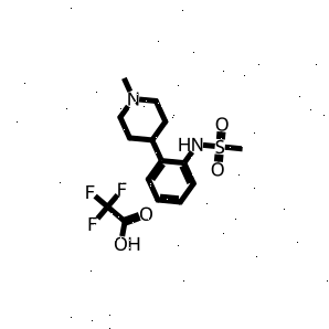 CN1CCC(c2ccccc2NS(C)(=O)=O)CC1.O=C(O)C(F)(F)F